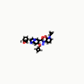 C[C@@]12CC[C@@](c3cn4cc(C(=O)Nc5cccn(C6CC6)c5=O)c(OC5CCC5)cc4n3)(CO1)C2